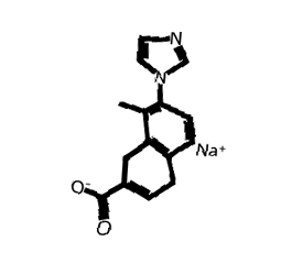 Cc1c(-n2ccnc2)ccc2c1CC(C(=O)[O-])=CC2.[Na+]